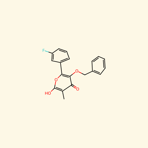 Cc1c(O)oc(-c2cccc(F)c2)c(OCc2ccccc2)c1=O